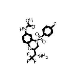 N[C@@H](C1CN(S(=O)(=O)c2ccc(F)cc2)c2cc(NC(=O)O)ccc2O1)C(F)(F)F